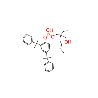 CCCCC(CC)(CO)COP(O)Oc1ccc(C(C)(C)c2ccccc2)cc1C(C)(C)c1ccccc1